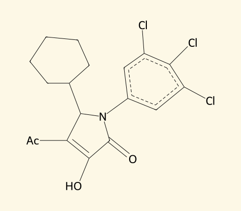 CC(=O)C1=C(O)C(=O)N(c2cc(Cl)c(Cl)c(Cl)c2)C1C1CCCCC1